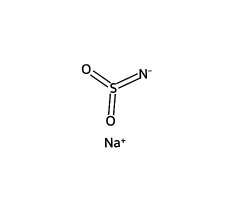 [N-]=S(=O)=O.[Na+]